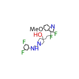 COc1ccc2ncc(F)c([C@@H](F)CCC3(CO)CCN(CCNc4cc(F)cc(F)c4)CC3)c2c1